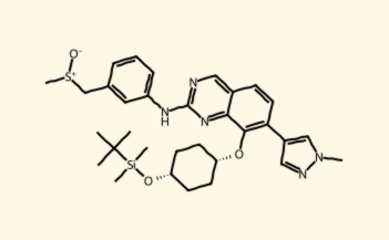 Cn1cc(-c2ccc3cnc(Nc4cccc(C[S+](C)[O-])c4)nc3c2O[C@H]2CC[C@@H](O[Si](C)(C)C(C)(C)C)CC2)cn1